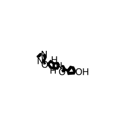 O=C(CN1C[C@H]2CC(Oc3cnccn3)C[C@H]2C1)c1ccc(O)cc1